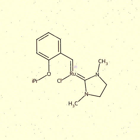 CC(C)Oc1ccccc1/[CH]=[Ru](\[Cl])=[C]1N(C)CCN1C